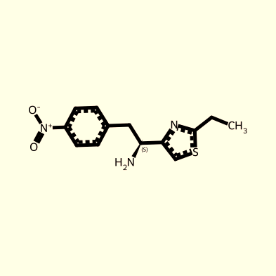 CCc1nc([C@@H](N)Cc2ccc([N+](=O)[O-])cc2)cs1